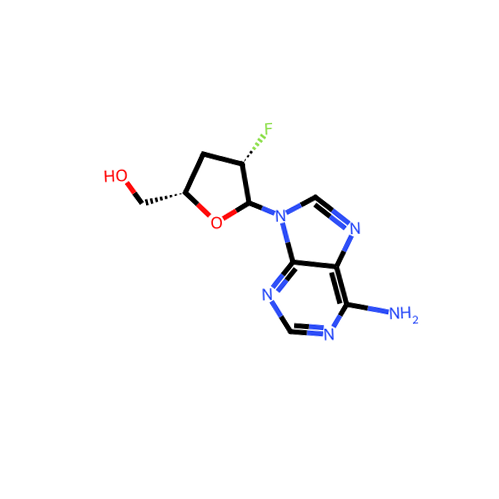 Nc1ncnc2c1ncn2C1O[C@H](CO)C[C@@H]1F